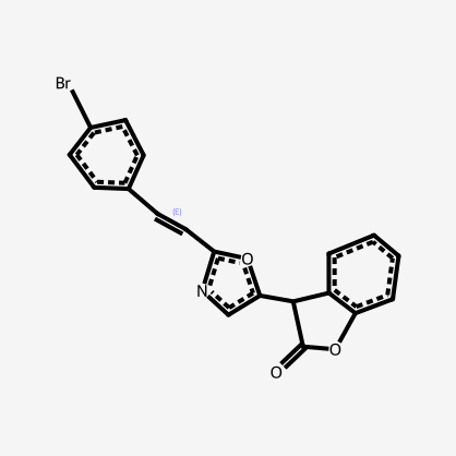 O=C1Oc2ccccc2C1c1cnc(/C=C/c2ccc(Br)cc2)o1